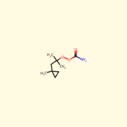 CC1(CC(C)(C)OOC(N)=O)CC1